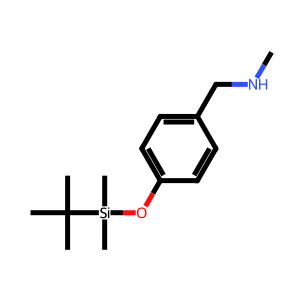 CNCc1ccc(O[Si](C)(C)C(C)(C)C)cc1